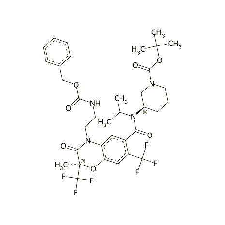 CC(C)N(C(=O)c1cc2c(cc1C(F)(F)F)O[C@@](C)(C(F)(F)F)C(=O)N2CCNC(=O)OCc1ccccc1)[C@@H]1CCCN(C(=O)OC(C)(C)C)C1